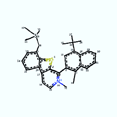 Cc1c(-c2c3sc4c(C[Si](C)(C)C)cccc4c3cc[n+]2C)cc(C(C)(C)C)c2ccccc12